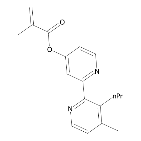 C=C(C)C(=O)Oc1ccnc(-c2nccc(C)c2CCC)c1